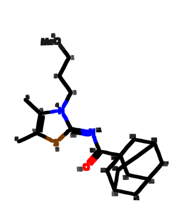 COCCCn1c(C)c(C)sc1=NC(=O)C12CC3CC(CC(C3)C1)C2